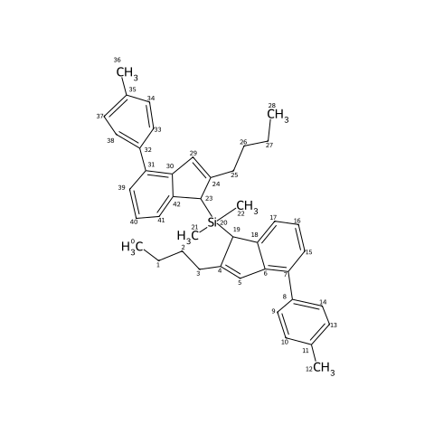 CCCCC1=Cc2c(-c3ccc(C)cc3)cccc2C1[Si](C)(C)C1C(CCCC)=Cc2c(-c3ccc(C)cc3)cccc21